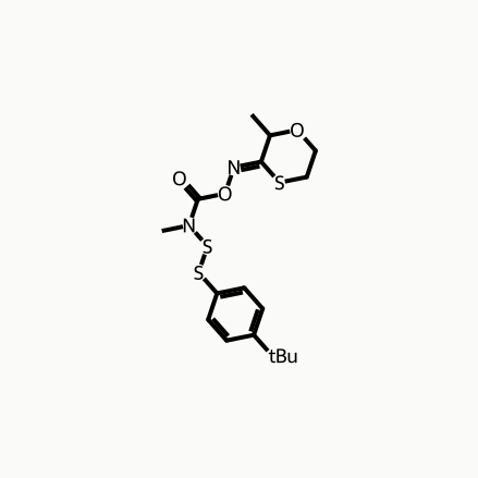 CC1OCCSC1=NOC(=O)N(C)SSc1ccc(C(C)(C)C)cc1